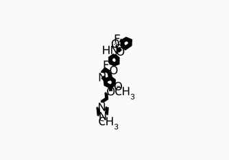 COc1cc2c(Oc3ccc(NS(=O)(=O)c4ccccc4F)cc3F)ccnc2cc1OCCCN1CCN(C)CC1